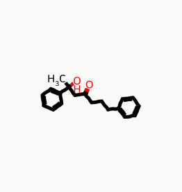 CC(O)(CC(=O)CCCc1ccccc1)c1ccccc1